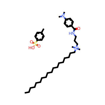 CCCCCCCCCCCCCCCCCC[N+](C)(C)CCCNC(=O)c1ccc(N(C)C)cc1.Cc1ccc(S(=O)(=O)O)cc1